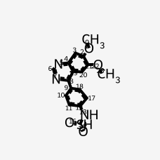 COc1cc2ncnc(-c3ccc(N[SH](=O)=O)cc3)c2cc1OC